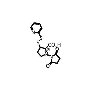 O=C(O)[C@@H]1C(SSc2ccccn2)CCN1N1C(=O)CCC1=O